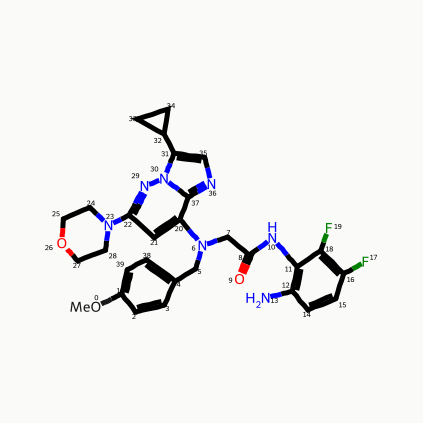 COc1ccc(CN(CC(=O)Nc2c(N)ccc(F)c2F)c2cc(N3CCOCC3)nn3c(C4CC4)cnc23)cc1